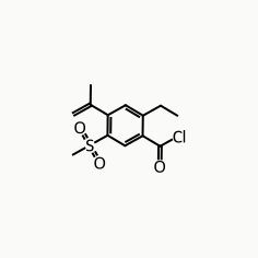 C=C(C)c1cc(CC)c(C(=O)Cl)cc1S(C)(=O)=O